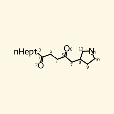 CCCCCCCC(=O)CCC(=O)CC1CC[N]C1